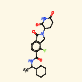 O=C1CCC(N2Cc3c(ccc(C(=O)NC(C4CCCCC4)C(F)(F)F)c3F)C2=O)C(=O)N1